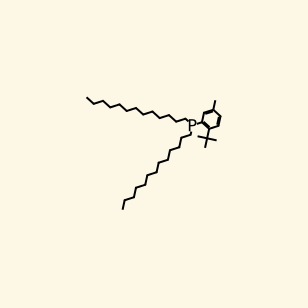 CCCCCCCCCCCCCP(CCCCCCCCCCCCC)c1cc(C)ccc1C(C)(C)C